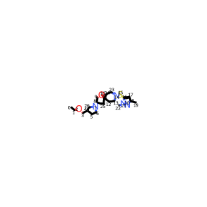 CCOCC1CCN(C2COC3(CCN(Sc4cc(C)nn4C)CC3)C2)C1